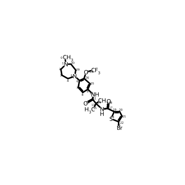 CN1CCCN(c2ccc(NC(=O)C(C)(C)NC(=O)c3ccc(Br)s3)cc2OC(F)(F)F)CC1